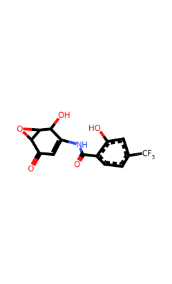 O=C(NC1=CC(=O)C2OC2C1O)c1ccc(C(F)(F)F)cc1O